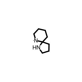 C1CCC2(CCCN2)[N]C1